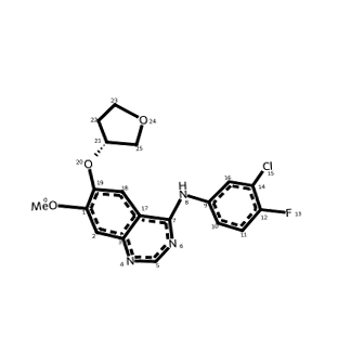 COc1cc2ncnc(Nc3ccc(F)c(Cl)c3)c2cc1O[C@@H]1CCOC1